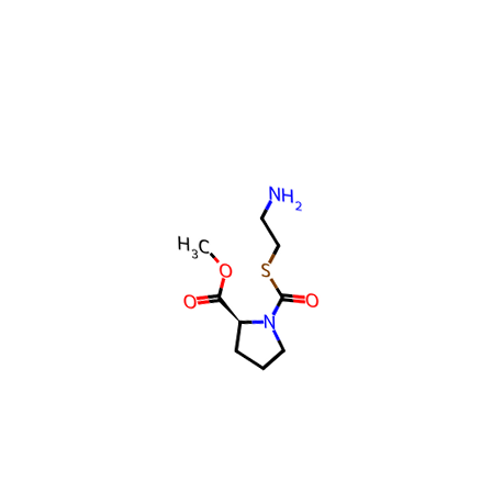 COC(=O)[C@@H]1CCCN1C(=O)SCCN